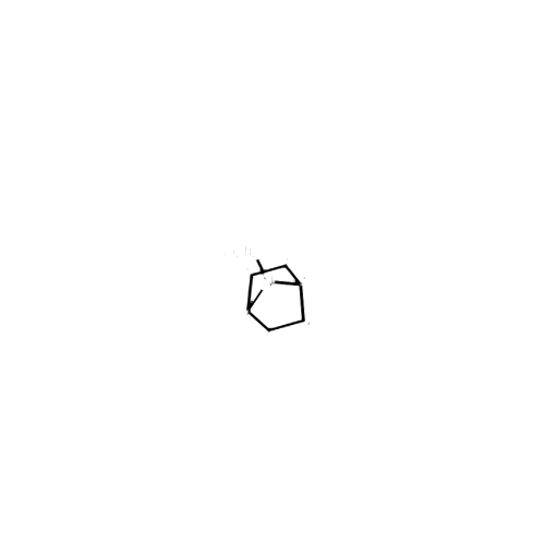 O=CN1C2CCC1CC2